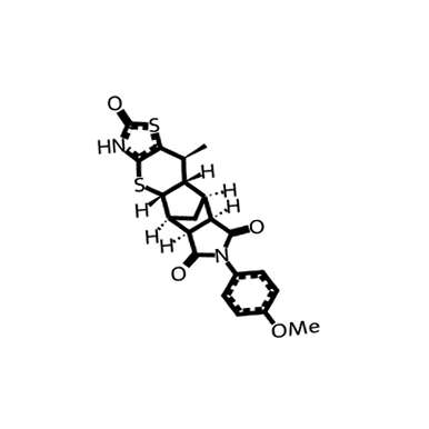 COc1ccc(N2C(=O)[C@@H]3[C@H]4C[C@H]([C@@H]5Sc6[nH]c(=O)sc6[C@@H](C)[C@H]45)[C@@H]3C2=O)cc1